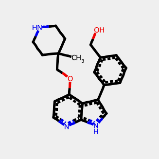 CC1(COc2ccnc3[nH]cc(-c4cccc(CO)c4)c23)CCNCC1